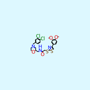 COc1ccc(-c2csc(SCC(=O)NCC3CN(Cc4ccc(Cl)c(Cl)c4)CCO3)n2)cc1OC